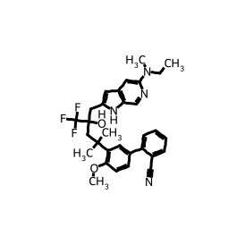 CCN(C)c1cc2cc(CC(O)(CC(C)(C)c3cc(-c4ccccc4C#N)ccc3OC)C(F)(F)F)[nH]c2cn1